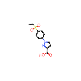 C=CS(=O)(=O)c1ccc(-n2ccc(C(=O)O)n2)cc1